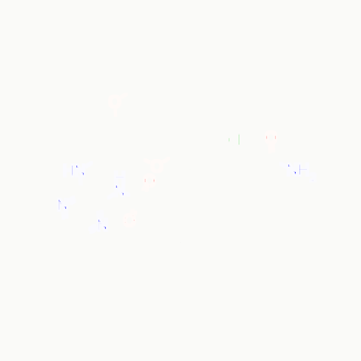 COc1cc(Nc2nc3ccccc3nc2NS(=O)(=O)c2cccc(-c3ccc(C(N)=O)c(Cl)c3Cl)c2)cc(OC)c1